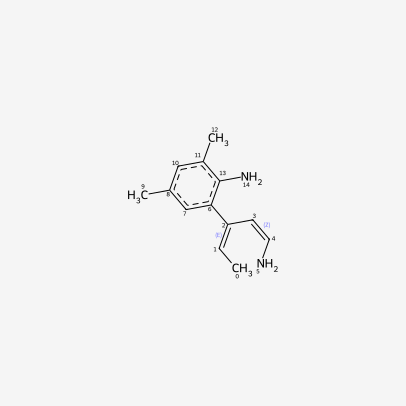 C/C=C(\C=C/N)c1cc(C)cc(C)c1N